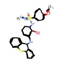 CN=S(=O)(NC1CCCC(NC2c3ccccc3Sc3ccccc32)C1O)c1ccc(OC(F)(F)F)cc1